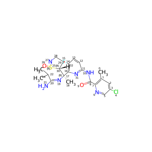 Cc1cc(Cl)cnc1C(=O)Nc1ccc(F)c([C@@]2(C)N=C(N)C(C)(C)[S@@]3(=O)=NCC[C@H]23)n1